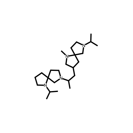 CC(C)N1CCC2(CC(CC(C)N3CCC4(CCCN4C(C)C)C3)CN2C)C1